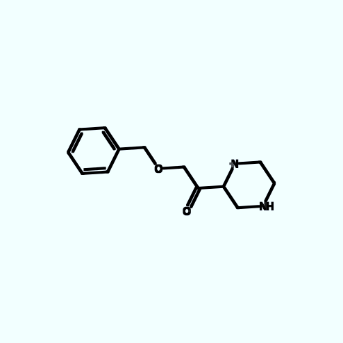 O=C(COCc1ccccc1)C1CNCC[N]1